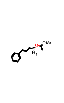 COC(C)O[SiH2]CC=Cc1ccccc1